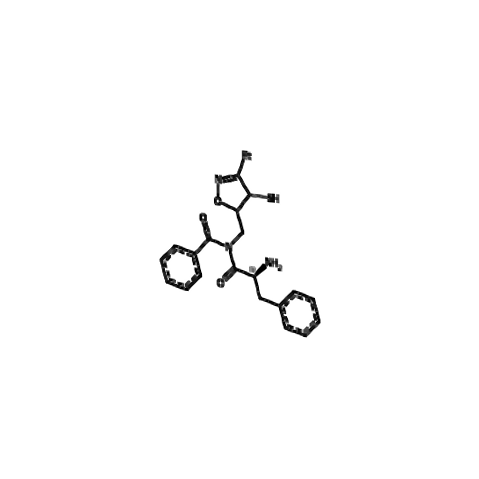 CCC1=NOC(CN(C(=O)c2ccccc2)C(=O)[C@@H](N)Cc2ccccc2)C1S